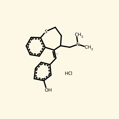 CN(C)CC1CCSc2ccccc2/C1=C\c1cccc(O)c1.Cl